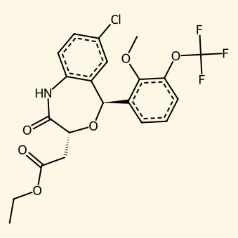 CCOC(=O)C[C@H]1O[C@H](c2cccc(OC(F)(F)F)c2OC)c2cc(Cl)ccc2NC1=O